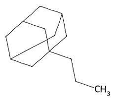 CCCC12CC3CC(CC(C3)C1)C2